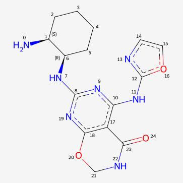 N[C@H]1CCCC[C@H]1Nc1nc(Nc2ncco2)c2c(n1)OCNC2=O